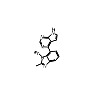 Cc1nc2cccc(-c3ncnc4[nH]ccc34)c2n1C(C)C